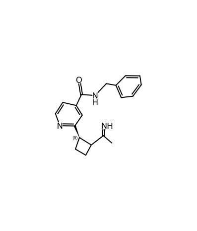 CC(=N)C1CC[C@H]1c1cc(C(=O)NCc2ccccc2)ccn1